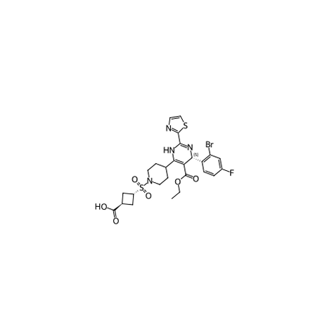 CCOC(=O)C1=C(C2CCN(S(=O)(=O)[C@H]3C[C@H](C(=O)O)C3)CC2)NC(c2nccs2)=N[C@@H]1c1ccc(F)cc1Br